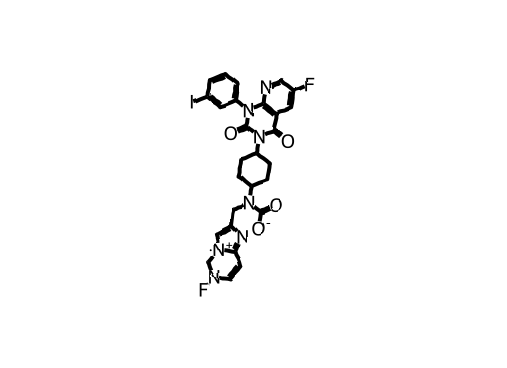 O=C([O-])N(CC1=C[N+]2CN(F)C=CC2=N1)C1CCC(n2c(=O)c3cc(F)cnc3n(-c3cccc(I)c3)c2=O)CC1